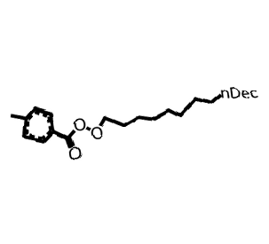 [CH2]CCCCCCCCCCCCCCCCCOOC(=O)c1ccc(C)cc1